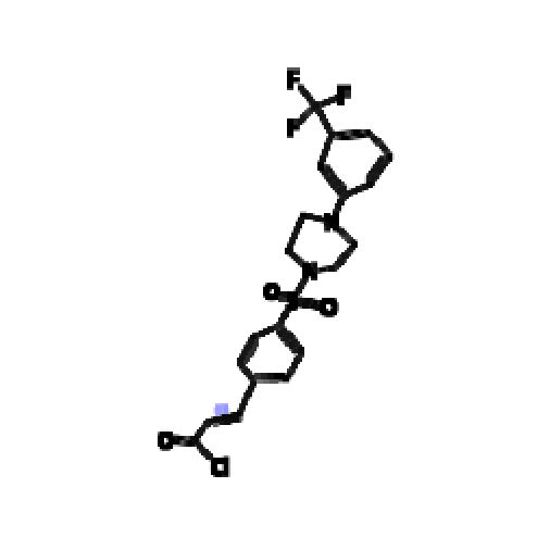 O=C(Cl)/C=C/c1ccc(S(=O)(=O)N2CCN(c3cccc(C(F)(F)F)c3)CC2)cc1